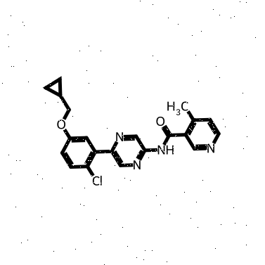 Cc1ccncc1C(=O)Nc1cnc(-c2cc(OCC3CC3)ccc2Cl)cn1